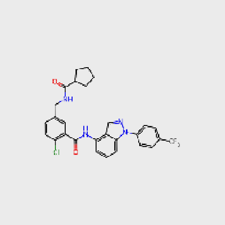 O=C(Nc1cccc2c1cnn2-c1ccc(C(F)(F)F)cc1)c1cc(CNC(=O)C2CCCC2)ccc1Cl